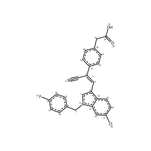 N#C/C(=C\c1cn(Cc2ccc(F)cc2)c2cc(Cl)ccc12)c1ccc(CC(=O)O)cc1